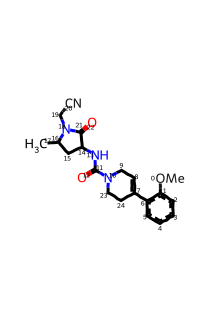 COc1ccccc1C1=CCN(C(=O)NC2CC(C)N(CC#N)C2=O)CC1